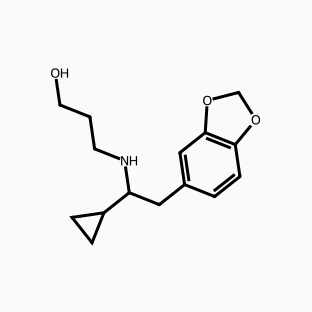 OCCCNC(Cc1ccc2c(c1)OCO2)C1CC1